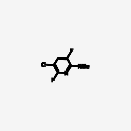 CNc1nc(F)c(Cl)cc1F